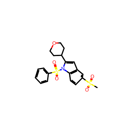 CS(=O)(=O)c1ccc2c(c1)cc(C1CCOCC1)n2S(=O)(=O)c1ccccc1